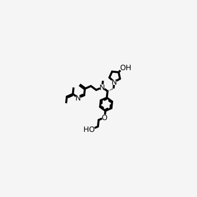 C=C(/C=N\C(C)=C/C)CCN(C)[C@H](CN1CCC(O)C1)c1ccc(OCCO)cc1